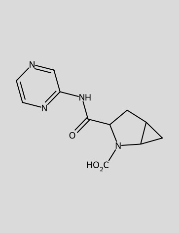 O=C(Nc1cnccn1)C1CC2CC2N1C(=O)O